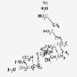 CC(=O)O.CC(=O)O.CC(=O)O.CC(=O)O.CC(=O)O.CC(=O)O.CC(=O)O.CC(=O)O.CC(=O)O.O.O.O.[Sb]